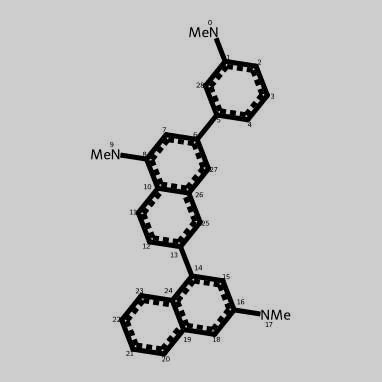 CNc1cccc(-c2cc(NC)c3ccc(-c4cc(NC)cc5ccccc45)cc3c2)c1